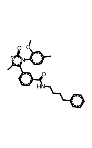 COc1cc(C)ccc1-n1c(-c2cccc(C(=O)NCCCCc3ccccc3)c2)c(C)sc1=O